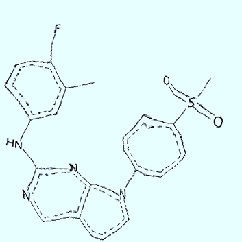 Cc1cc(Nc2ncc3ccn(-c4ccc(S(C)(=O)=O)cc4)c3n2)ccc1F